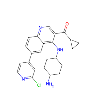 NC1CCC(Nc2c(C(=O)C3CC3)cnc3ccc(-c4ccnc(Cl)c4)cc23)CC1